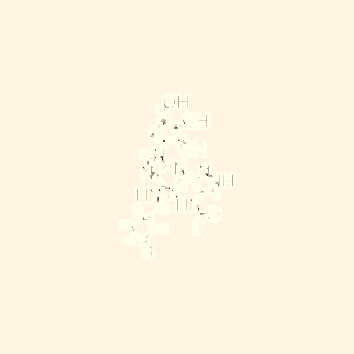 CC(=O)Nc1c[nH]nc1-c1nc(NCc2cccc(I)c2)c2ncn([C@@H]3O[C@H](CO)[C@@H](O)[C@H]3O)c2n1